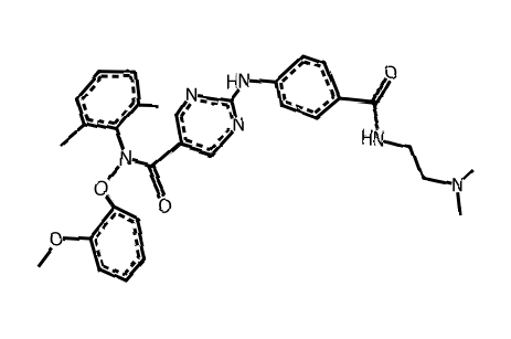 COc1ccccc1ON(C(=O)c1cnc(Nc2ccc(C(=O)NCCN(C)C)cc2)nc1)c1c(C)cccc1C